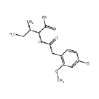 CCC(C)C(NC(=O)Cc1ccc(Cl)cc1OC)C(=O)O